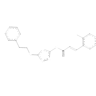 O=C(C=Cc1ccccc1Cl)Nc1nnc(NCCc2ccccc2)s1